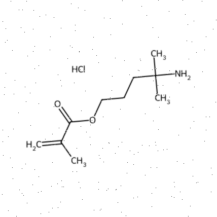 C=C(C)C(=O)OCCCC(C)(C)N.Cl